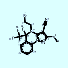 CSc1nn2c(c1C#N)N(CCBr)C(F)(C(F)(F)F)c1ccccc1-2